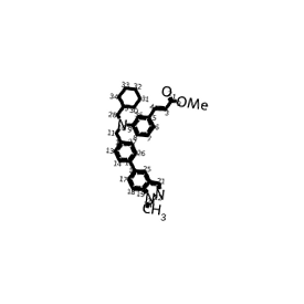 COC(=O)/C=C/c1cccc(N(Cc2ccc(-c3ccc4c(cnn4C)c3)cc2)CC2CCCCC2)c1